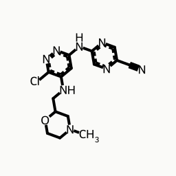 CN1CCOC(CNc2cc(Nc3cnc(C#N)cn3)nnc2Cl)C1